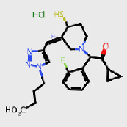 Cl.O=C(O)CCCn1cc(/C=C2\CN(C(C(=O)C3CC3)c3ccccc3F)CCC2S)nn1